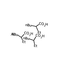 CCCCC(CC)C(=O)O.CCCCC(CC)C(=O)O.CCCCC(CC)C(=O)O.[Al]